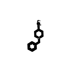 [C-]#[N+]C1CCN(Cc2ccccc2)CC1